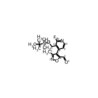 Cc1noc(C=O)c1-c1ccnc(F)c1CO[Si](C)(C)C(C)(C)C